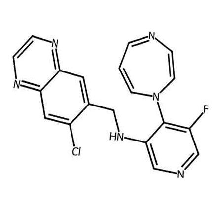 Fc1cncc(NCc2cc3nccnc3cc2Cl)c1N1C=CC=NC=C1